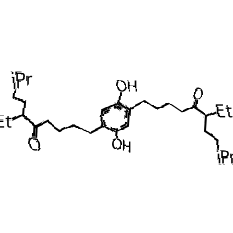 CCC(CCC(C)C)C(=O)CCCCc1cc(O)c(CCCCC(=O)C(CC)CCC(C)C)cc1O